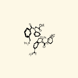 Cl.Cl.NC(=O)c1ccc2c(c1)N(C(=O)[C@@H]1CCCC[C@H]1N)CC2.NCc1cccc(C(=O)N(CC(=O)O)c2ccccc2)c1